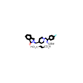 CON=C(CN1CCC(CN2Cc3ccccc3C2=O)CC1)c1ccc(F)cc1.O=C(O)C=CC(=O)O